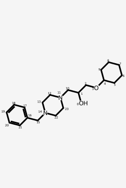 OC(COC1CCCCC1)CN1CCN(Cc2ccccc2)CC1